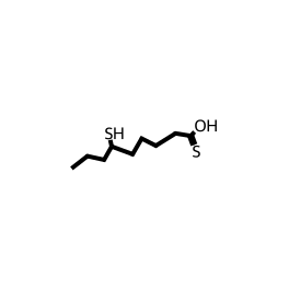 CCCC(S)CCCCC(O)=S